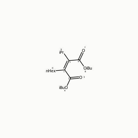 CCCCCC/C(C(=O)OCC(C)C)=C(/C(=O)OCC(C)C)C(C)C